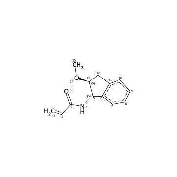 C=CC(=O)N[C@H]1c2ccccc2C[C@@H]1OC